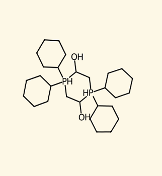 OC1C[PH](C2CCCCC2)(C2CCCCC2)C(O)C[PH]1(C1CCCCC1)C1CCCCC1